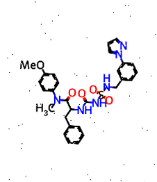 COc1ccc(N(C)C(=O)C(Cc2ccccc2)NC(=O)NS(=O)(=O)NCc2cccc(-n3cccn3)c2)cc1